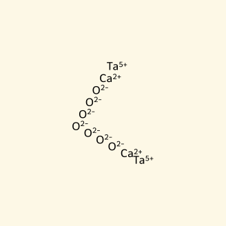 [Ca+2].[Ca+2].[O-2].[O-2].[O-2].[O-2].[O-2].[O-2].[O-2].[Ta+5].[Ta+5]